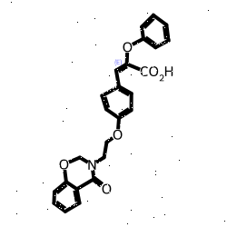 O=C(O)/C(=C\c1ccc(OCCN2COc3ccccc3C2=O)cc1)Oc1ccccc1